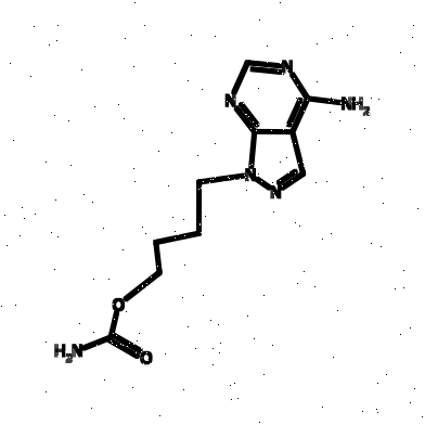 NC(=O)OCCCCn1ncc2c(N)ncnc21